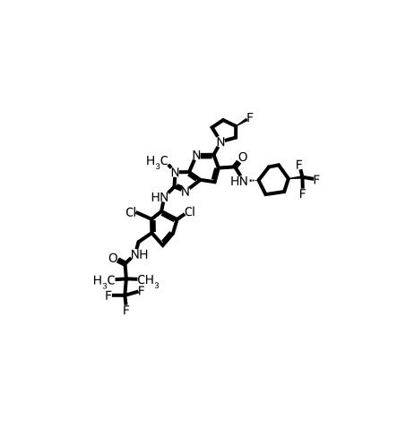 Cn1c(Nc2c(Cl)ccc(CNC(=O)C(C)(C)C(F)(F)F)c2Cl)nc2cc(C(=O)N[C@H]3CC[C@H](C(F)(F)F)CC3)c(N3CC[C@@H](F)C3)nc21